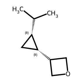 CC(C)[C@H]1C[C@H]1C1COC1